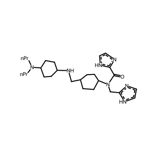 CCCN(CCC)C1CCC(NCC2CCC(N(Cc3ncc[nH]3)C(=O)c3ncc[nH]3)CC2)CC1